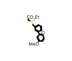 CCOC(=O)CSCc1ccc2oc3ccc(OC)cc3c2c1